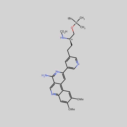 COc1cc2ncc3c(N)nc(-c4cncc(CC[C@H](CO[Si](C)(C)C(C)(C)C)NC(=O)O)c4)cc3c2cc1OC